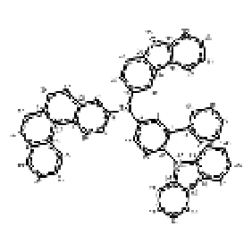 c1ccc(-c2cc(N(c3ccc4c(ccc5ccc6ccccc6c54)c3)c3ccc4sc5ccccc5c4c3)ccc2-n2c3ccccc3c3ccccc32)cc1